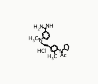 CC(=O)N(c1ccc(C#CCN(C)c2cccc(C(=N)N)c2)cc1C)C1CCCC1.Cl